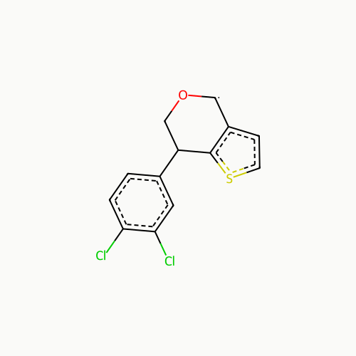 Clc1ccc(C2CO[CH]c3ccsc32)cc1Cl